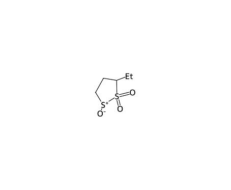 CCC1CC[S+]([O-])S1(=O)=O